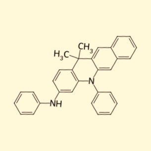 CC1(C)c2ccc(Nc3ccccc3)cc2N(c2ccccc2)c2cc3ccccc3cc21